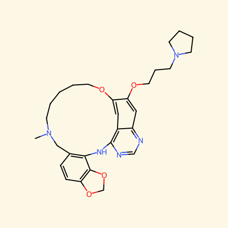 CN1CCCCCOc2cc3c(ncnc3cc2OCCCN2CCCC2)Nc2c(ccc3c2OCO3)C1